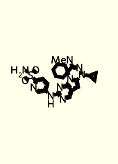 CNC1=NN(C2CC2)c2cc3cnc(Nc4ccc(S(N)(=O)=O)nc4)nc3n2C12CCCCC2